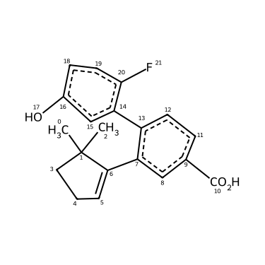 CC1(C)CCC=C1c1cc(C(=O)O)ccc1-c1cc(O)ccc1F